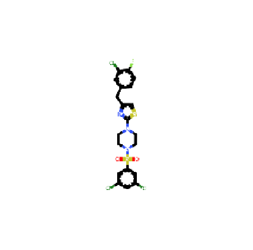 O=S(=O)(c1cc(Cl)cc(Cl)c1)N1CCN(c2nc(Cc3ccc(F)c(Cl)c3)cs2)CC1